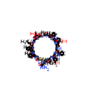 CCCC[C@H]1C(=O)N(C)CC(=O)N[C@@H](CC(=O)O)C(=O)N[C@@H](C(C)C)C(=O)N(C)C(Cc2ccccc2)C(=O)N[C@@H](Cc2ccc(O)cc2)C(=O)N2CCC[C@@H]2C(=O)N[C@@H](Cc2c[nH]c3ccccc23)C(=O)N[C@@H](Cc2ccc(O)cc2)C(=O)N[C@@H](CC(C)C)C(=O)N[C@H](C(=O)NCC(N)=O)CSCC(=O)N[C@@H](Cc2ccccc2)C(=O)N(C)[C@@H](Cc2ccccc2)C(=O)N1C